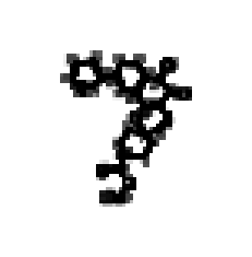 CC(C)(C)OC(=O)N1CCC2(CC1)CSC1=C(O2)c2cc(-c3cccnc3)ccc2C(=O)C1=O